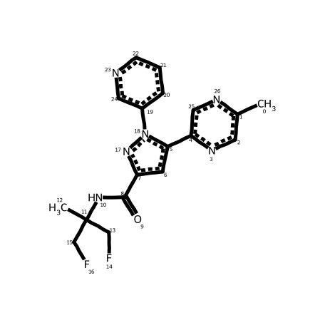 Cc1cnc(-c2cc(C(=O)NC(C)(CF)CF)nn2-c2cccnc2)cn1